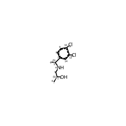 [CH2][C@H](O)CN[C@@H](C)c1ccc(Cl)c(Cl)c1